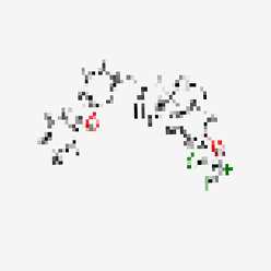 CC(C)(CCCc1cccc(Oc2ccccc2)c1)c1ccc(OC(F)(F)Cl)cc1